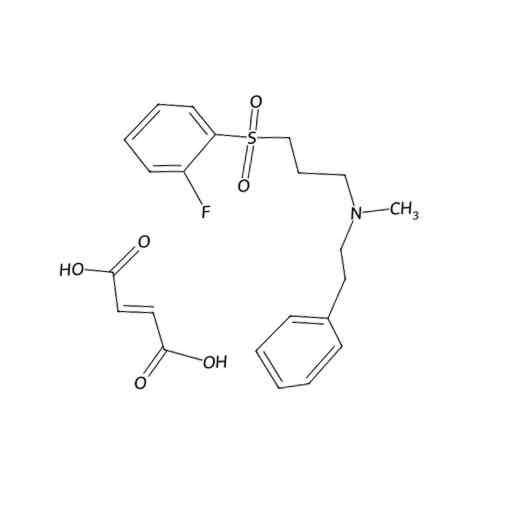 CN(CCCS(=O)(=O)c1ccccc1F)CCc1ccccc1.O=C(O)C=CC(=O)O